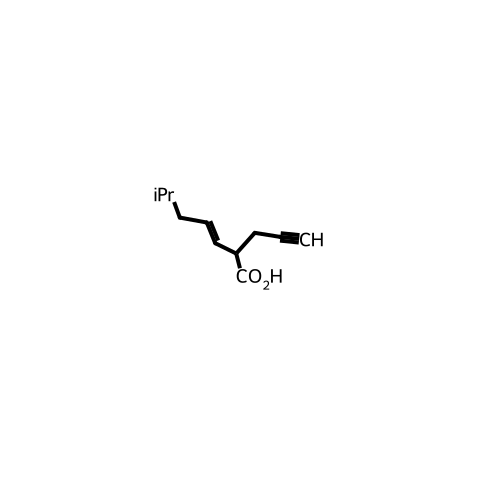 C#CCC(/C=C/CC(C)C)C(=O)O